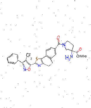 COC(=O)C1(N)CCN(C(=O)c2ccc3c(c2)CCc2nc(-c4onc(-c5ccccc5)c4C(F)(F)F)sc2-3)C1